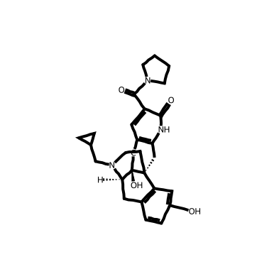 O=C(c1cc2c([nH]c1=O)C[C@]13CCN(CC4CC4)[C@H](Cc4ccc(O)cc41)[C@]3(O)C2)N1CCCC1